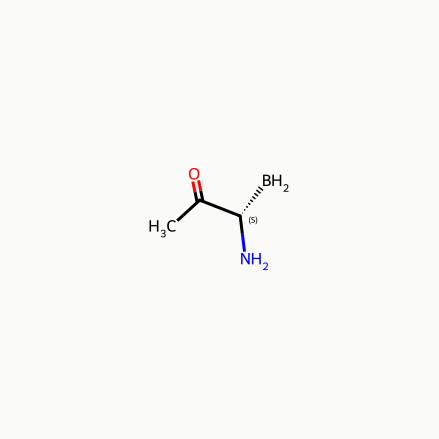 B[C@H](N)C(C)=O